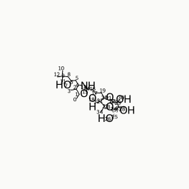 CCC(C)C(CC(O)CC(C)(C)C)NC(=O)CC(O)CC(O[C@@H]1O[C@@H](CO)C(O)C1O)C(C)CC